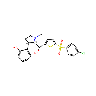 COc1ccccc1[C@H]1CCN(C)[C@H]1C(O)c1ccc(S(=O)(=O)c2ccc(Cl)cc2)s1